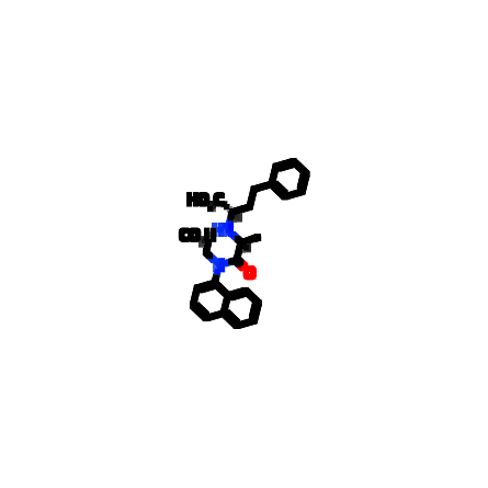 C[C@H](N[C@@H](CCc1ccccc1)C(=O)O)C(=O)N(CC(=O)O)c1cccc2ccccc12